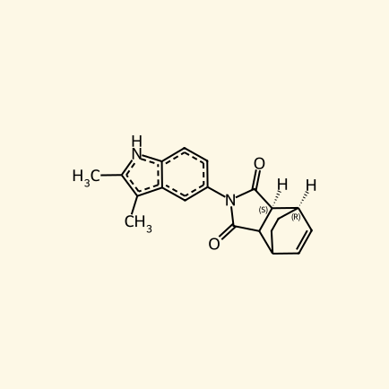 Cc1[nH]c2ccc(N3C(=O)C4C5C=C[C@@H](CC5)[C@@H]4C3=O)cc2c1C